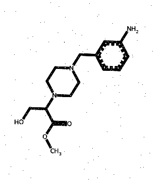 COC(=O)C(CO)N1CCN(Cc2cccc(N)c2)CC1